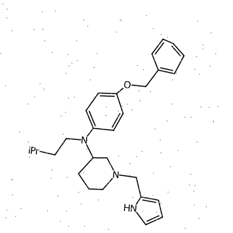 CC(C)CCN(c1ccc(OCc2ccccc2)cc1)C1CCCN(Cc2ccc[nH]2)C1